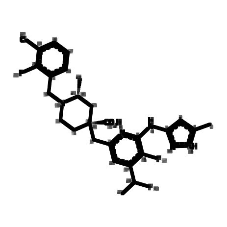 Cc1cc(Nc2nc(C[C@@]3(C(=O)O)CCN(Cc4cccc(Cl)c4F)[C@H](C)C3)cc(C(C)F)c2F)n[nH]1